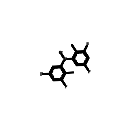 Cc1c(F)cc(F)cc1[S+]([O-])c1cc(F)cc(F)c1C